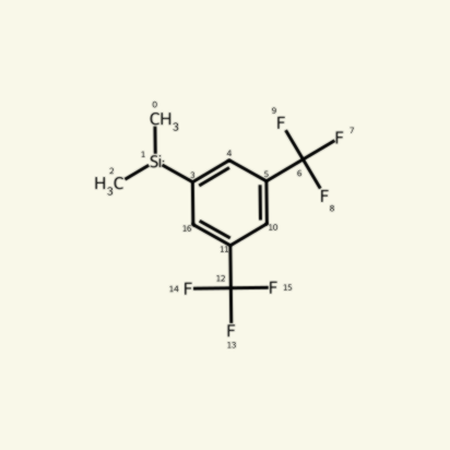 C[Si](C)c1cc(C(F)(F)F)cc(C(F)(F)F)c1